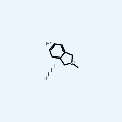 C[S+]1Cc2ccccc2C1.[H+].[H+].[I-].[I-].[I-]